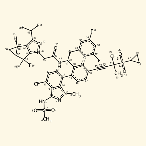 Cn1nc(NS(C)(=O)=O)c2c(Cl)ccc(-c3ccc(C#CC(C)(C)S(=O)(=O)C4CC4)nc3[C@H](Cc3cc(F)cc(F)c3)NC(=O)Cn3nc(C(F)F)c4c3C(F)(F)C3C[C@H]43)c21